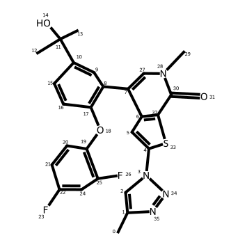 Cc1cn(-c2cc3c(-c4cc(C(C)(C)O)ccc4Oc4ccc(F)cc4F)cn(C)c(=O)c3s2)nn1